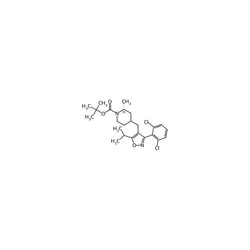 CC(C)c1onc(-c2c(Cl)cccc2Cl)c1CC1CCN(C(=O)OC(C)(C)C)[C@H](C)C1